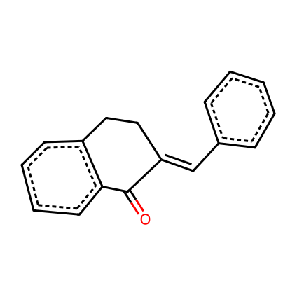 O=C1/C(=C/c2ccccc2)CCc2ccccc21